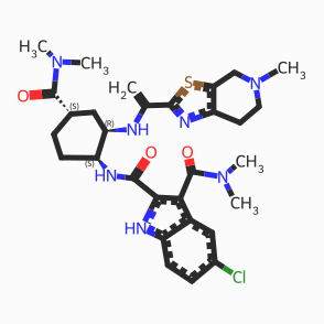 C=C(N[C@@H]1C[C@@H](C(=O)N(C)C)CC[C@@H]1NC(=O)c1[nH]c2ccc(Cl)cc2c1C(=O)N(C)C)c1nc2c(s1)CN(C)CC2